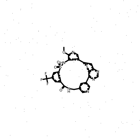 COc1ncc2cc1NS(=O)(=O)c1cc(cc(C(F)(F)F)c1)C(=O)NCc1cncc(c1)-c1ncnc3cc-2sc13